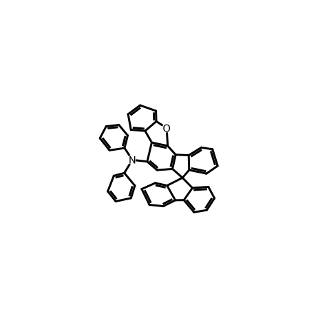 c1ccc(N(c2ccccc2)c2cc3c(c4oc5ccccc5c24)-c2ccccc2C32c3ccccc3-c3ccccc32)cc1